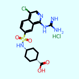 Cl.N=C(N)Nc1ncc(Cl)c2ccc(S(=O)(=O)N[C@H]3CC[C@@H](C(=O)O)CC3)cc12